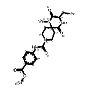 CCCCOC(=O)c1ccc(NC(=O)N2CCC3(CC2)C(=O)NC(CC(C)C)C(=O)N3CCC)cc1